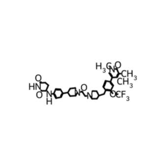 Cc1c(-c2ccc(CC3CCN(CC(=O)N4CCC(c5ccc(NC6CCC(=O)NC6=O)cc5)CC4)CC3)c(OC(F)(F)F)c2)cn(C)c(=O)c1C